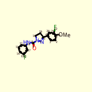 COc1ccc(C2=NN(C(=O)Nc3cccc(F)c3)CC2)cc1F